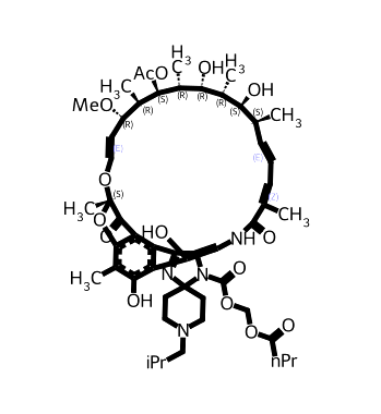 CCCC(=O)OCOC(=O)N1C2C(=NC13CCN(CC(C)C)CC3)c1c3c(O)c(C)c4c1C(=O)[C@@](C)(O/C=C/[C@H](OC)[C@@H](C)[C@@H](OC(C)=O)[C@H](C)[C@H](O)[C@H](C)[C@@H](O)[C@@H](C)/C=C/C=C(/C)C(=O)NC2=C3O)O4